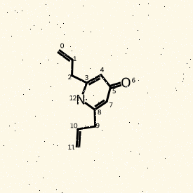 C=CCC1=CC(=O)C=C(CC=C)[N]1